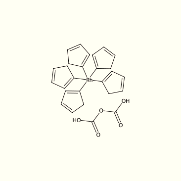 C1=CC[C]([Rh]([C]2=CC=CC2)([C]2=CC=CC2)([C]2=CC=CC2)[C]2=CC=CC2)=C1.O=C(O)OC(=O)O